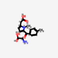 Cc1ccc(C(=O)c2ccc(CC(=O)O)n2C)cc1.NCC(=O)O